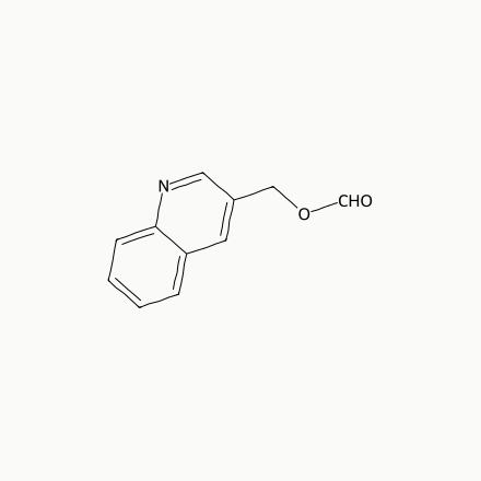 O=COCc1cnc2ccccc2c1